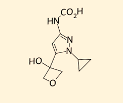 O=C(O)Nc1cc(C2(O)COC2)n(C2CC2)n1